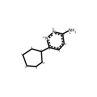 Nc1ccc(C2CCCCC2)nn1